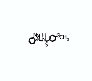 COc1ccc(C(=S)NCn2nnc3ccccc32)cc1